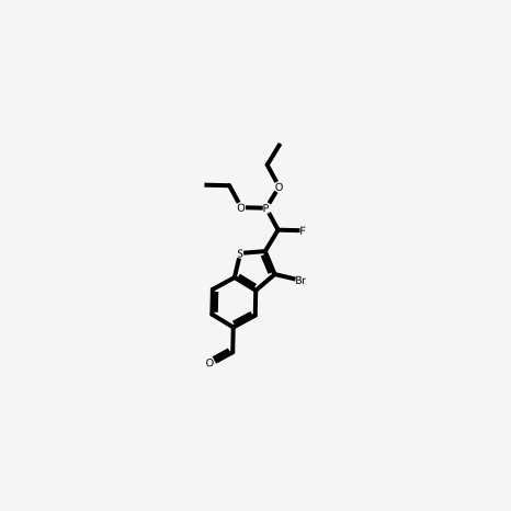 CCOP(OCC)C(F)c1sc2ccc(C=O)cc2c1Br